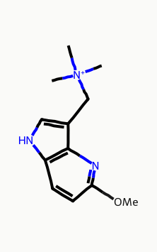 COc1ccc2[nH]cc(C[N+](C)(C)C)c2n1